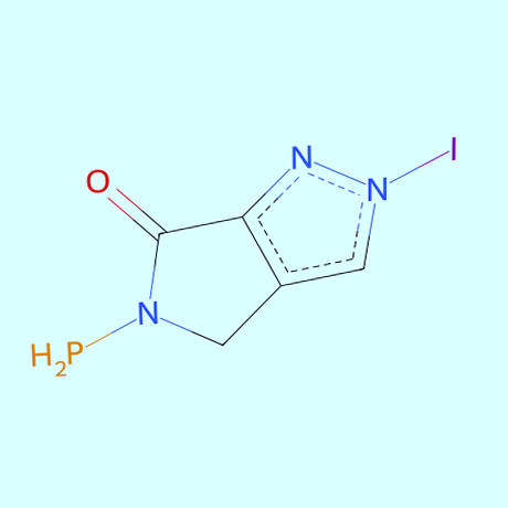 O=C1c2nn(I)cc2CN1P